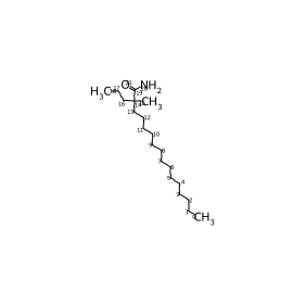 CCCCCCCCCCCCCCC(C)(CCC)C(N)=O